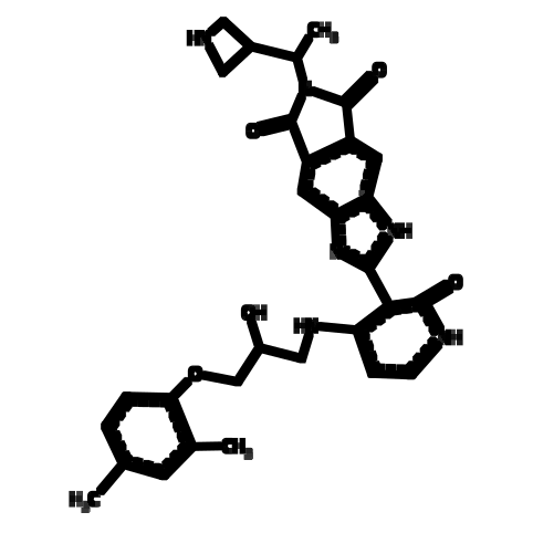 Cc1ccc(OCC(O)CNc2cc[nH]c(=O)c2-c2nc3cc4c(cc3[nH]2)C(=O)N(C(C)C2CNC2)C4=O)c(C)c1